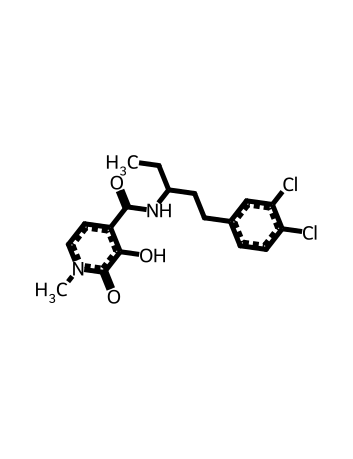 CCC(CCc1ccc(Cl)c(Cl)c1)NC(=O)c1ccn(C)c(=O)c1O